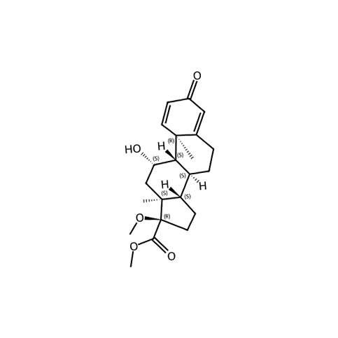 COC(=O)[C@@]1(OC)CC[C@H]2[C@@H]3CCC4=CC(=O)C=C[C@]4(C)[C@H]3[C@@H](O)C[C@@]21C